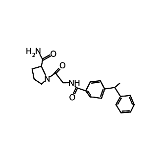 CC(c1ccccc1)c1ccc(C(=O)NCC(=O)N2CCCC2C(N)=O)cc1